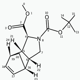 COC(=O)[C@@H]1[C@@H]2[C@H](CN1C(=O)OC(C)(C)C)[C@@H]1C=C[C@H]2C1